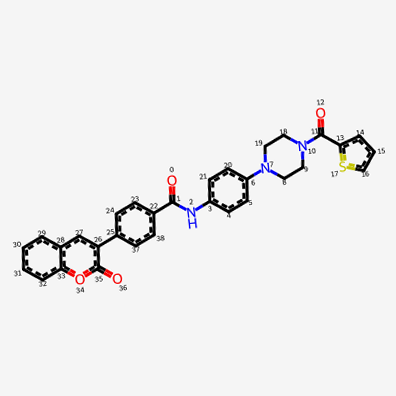 O=C(Nc1ccc(N2CCN(C(=O)c3cccs3)CC2)cc1)c1ccc(-c2cc3ccccc3oc2=O)cc1